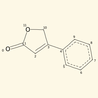 O=C1C=C(c2[c]cccc2)CO1